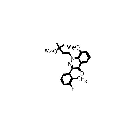 COc1cccc2c(=O)c(-c3cccc(F)c3C(F)(F)F)nn(CCC(C)(C)OC)c12